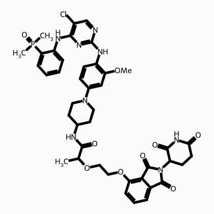 COc1cc(N2CCC(NC(=O)C(C)OCCOc3cccc4c3C(=O)N(C3CCC(=O)NC3=O)C4=O)CC2)ccc1Nc1ncc(Cl)c(Nc2ccccc2P(C)(C)=O)n1